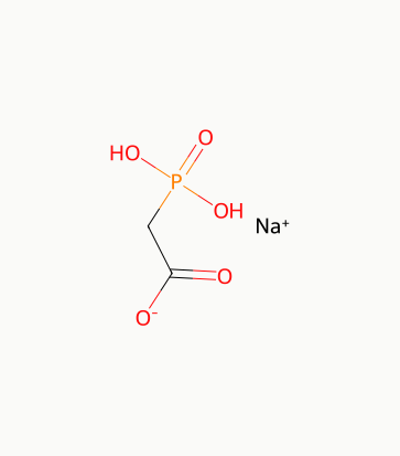 O=C([O-])CP(=O)(O)O.[Na+]